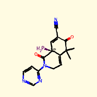 CC1(C)C(=O)C(C#N)=C[C@@]2(P)C(=O)N(c3ccncn3)CC=C12